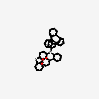 c1ccc(-c2ccccc2N(c2ccc3c(c2)-c2c4cccc2-c2cccc-3c2-c2ccccc2-4)c2ccc3sc4ccccc4c3c2)cc1